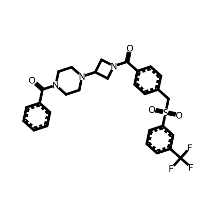 O=C(c1ccccc1)N1CCN(C2CN(C(=O)c3ccc(CS(=O)(=O)c4cccc(C(F)(F)F)c4)cc3)C2)CC1